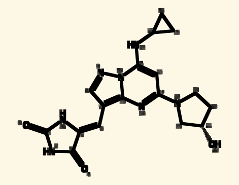 O=C1NC(=O)/C(=C/c2cnn3c(NC4CC4)cc(N4CC[C@H](O)C4)nc23)N1